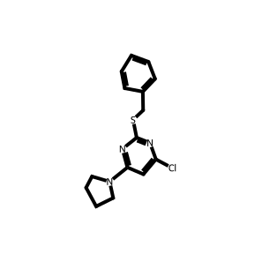 Clc1cc(N2CCCC2)nc(SCc2ccccc2)n1